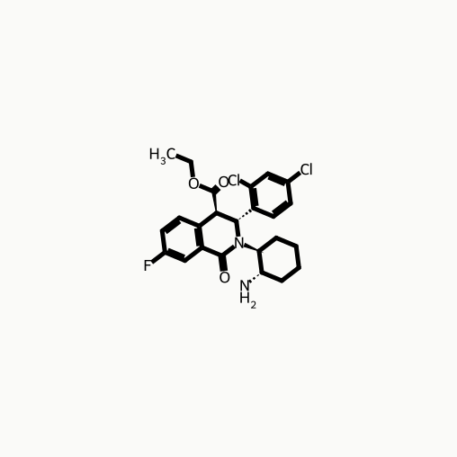 CCOC(=O)[C@@H]1c2ccc(F)cc2C(=O)N([C@H]2CCCC[C@@H]2N)[C@H]1c1ccc(Cl)cc1Cl